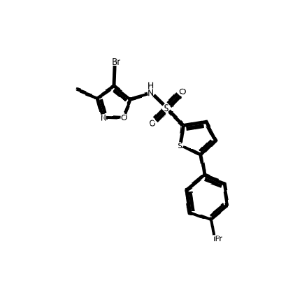 Cc1noc(NS(=O)(=O)c2ccc(-c3ccc(C(C)C)cc3)s2)c1Br